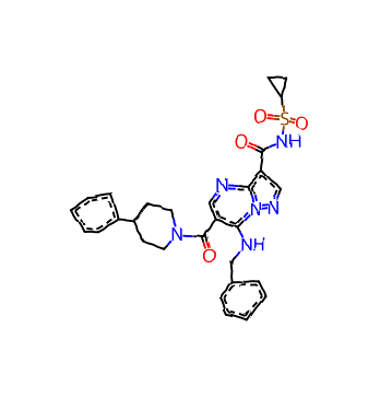 O=C(NS(=O)(=O)C1CC1)c1cnn2c(NCc3ccccc3)c(C(=O)N3CCC(c4ccccc4)CC3)cnc12